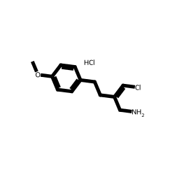 COc1ccc(CCC(=CCl)CN)cc1.Cl